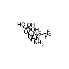 Nc1nc(SCCC(F)(F)F)nc2c1ncn2C1OC(CO)[C@H](O)[C@@H]1O